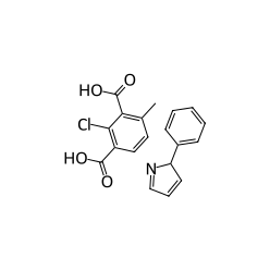 C1=CC(c2ccccc2)N=C1.Cc1ccc(C(=O)O)c(Cl)c1C(=O)O